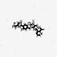 CC(C)c1ncccc1-c1ncc2c(n1)n(Cc1ccc(-c3nc(C(F)(F)F)cn3C)c(F)c1)c(=O)n2C